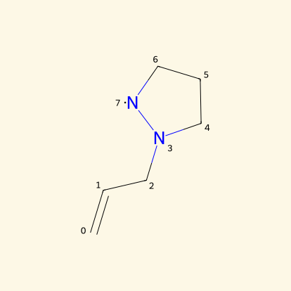 C=CCN1CCC[N]1